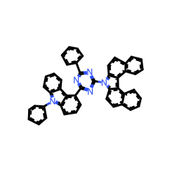 c1ccc(-c2nc(-c3cccc4c3c3ccccc3n4-c3ccccc3)nc(-n3c4ccc5ccccc5c4c4c5ccccc5ccc43)n2)cc1